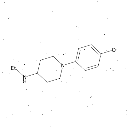 CCNC1CCN(c2ccc([O])cc2)CC1